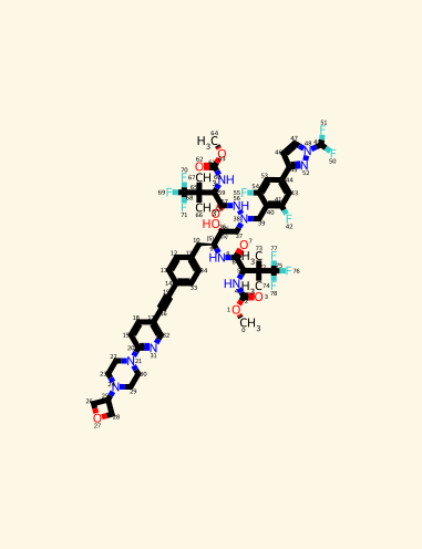 COC(=O)NC(C(=O)N[C@@H](Cc1ccc(C#Cc2ccc(N3CCN(C4COC4)CC3)nc2)cc1)[C@@H](O)CN(Cc1c(F)cc(-c2ccn(C(F)F)n2)cc1F)NC(=O)C(NC(=O)OC)C(C)(C)C(F)(F)F)C(C)(C)C(F)(F)F